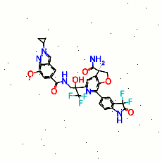 COc1cc(C(=O)NCC(O)(c2cc3c(c(-c4ccc5c(c4)C(F)(F)C(=O)N5)n2)OC[C@]3(C)C(N)=O)C(F)(F)F)cc2cn(C3CC3)nc12